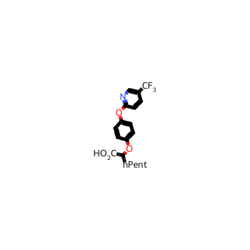 CCCCCC(Oc1ccc(Oc2ccc(C(F)(F)F)cn2)cc1)C(=O)O